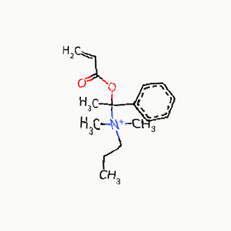 C=CC(=O)OC(C)(c1ccccc1)[N+](C)(C)CCC